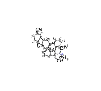 C#CC1=C(/C=C\C)N(c2c(C#N)cccc2-c2ccc3oc4ccc(C#N)cc4c3c2)C2C=CC=CC12